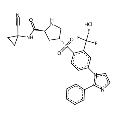 Cl.N#CC1(NC(=O)[C@@H]2C[C@@H](S(=O)(=O)c3ccc(-n4ccnc4-c4ccccc4)cc3C(F)(F)F)CN2)CC1